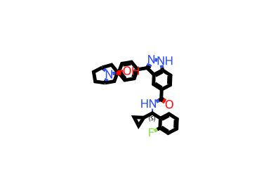 O=C(N[C@H](c1ccccc1F)C1CC1)c1ccc2[nH]nc(-c3ccc(N4C5CCC4CC(O)C5)cc3)c2c1